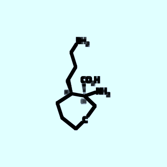 BCCC[C@@H]1CCCCC[C@@]1(N)C(=O)O